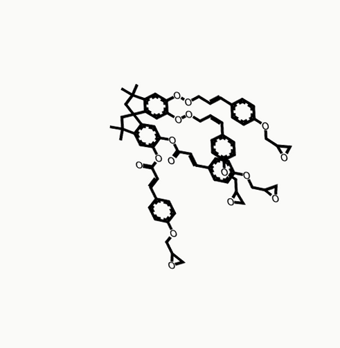 CC1(C)CC2(CC(C)(C)c3cc(OC(=O)/C=C/c4ccc(OCC5CO5)cc4)c(OC(=O)/C=C/c4ccc(OCC5CO5)cc4)cc32)c2cc(OOC/C=C\c3ccc(OCC4CO4)cc3)c(OOC/C=C/c3ccc(OCC4CO4)cc3)cc21